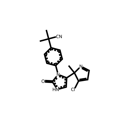 CC(C)(C#N)c1ccc(-n2c(C3(C)N=CC=C3Cl)c[nH]c2=O)cc1